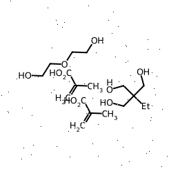 C=C(C)C(=O)O.C=C(C)C(=O)O.CCC(CO)(CO)CO.OCCOCCO